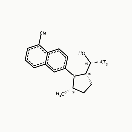 C[C@H]1CC[C@@H]([C@H](O)C(F)(F)F)N1c1ccc2c(C#N)cccc2c1